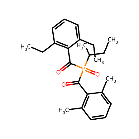 CCc1cccc(CC)c1C(=O)P(=O)(C(=O)c1c(C)cccc1C)C(C)CC